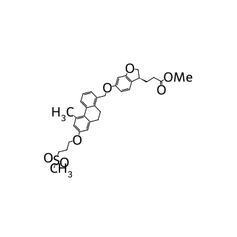 COC(=O)CC[C@@H]1COc2cc(OCc3cccc4c3CCc3cc(OCCCS(C)(=O)=O)cc(C)c3-4)ccc21